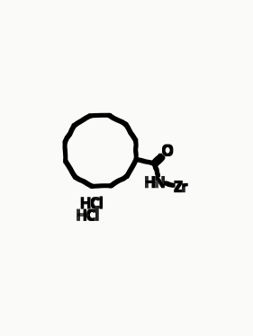 Cl.Cl.O=C([NH][Zr])C1CCCCCCCCCCC1